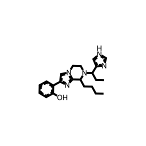 CCCCC1c2nc(-c3ccccc3O)cn2CCN1C(CC)c1c[nH]cn1